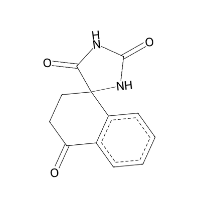 O=C1NC(=O)C2(CCC(=O)c3ccccc32)N1